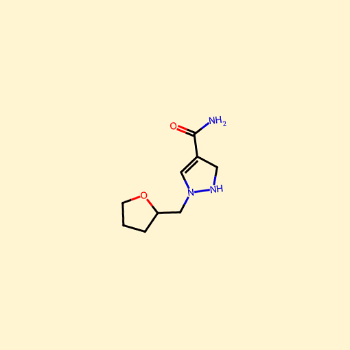 NC(=O)C1=CN(CC2CCCO2)NC1